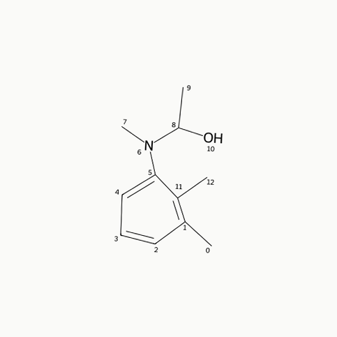 Cc1cccc(N(C)C(C)O)c1C